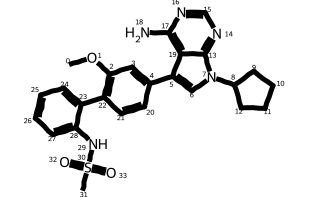 COc1cc(-c2cn(C3CCCC3)c3ncnc(N)c23)ccc1-c1ccccc1NS(C)(=O)=O